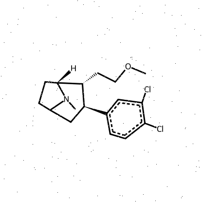 COCC[C@@H]1[C@@H](c2ccc(Cl)c(Cl)c2)CC2CC[C@H]1N2C